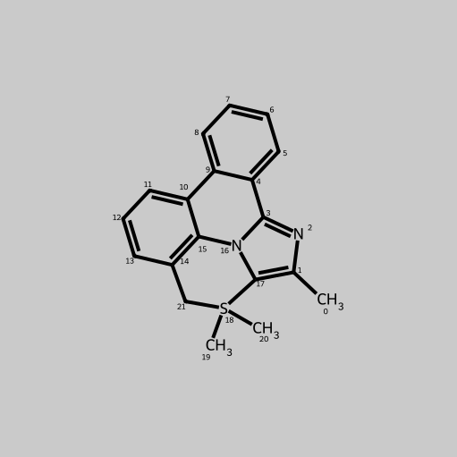 Cc1nc2c3ccccc3c3cccc4c3n2c1S(C)(C)C4